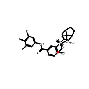 O=C(Nc1cc(F)c(F)c(F)c1)c1ccc(Cl)c(S(=O)(=O)[C@H]2CC3CCC(C2)[C@]3(O)[C@H](O)[C@@H](O)CO)c1